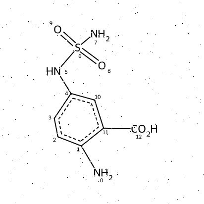 Nc1ccc(NS(N)(=O)=O)cc1C(=O)O